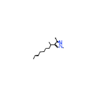 CCCCCCCC(C)c1cn(C)nc1C